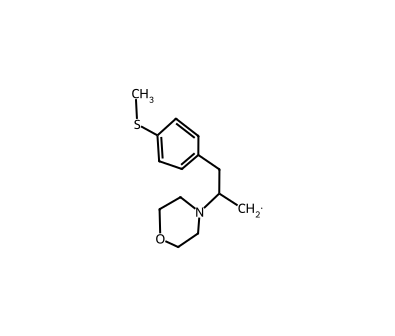 [CH2]C(Cc1ccc(SC)cc1)N1CCOCC1